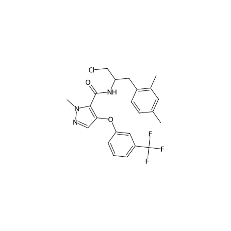 Cc1ccc(CC(CCl)NC(=O)c2c(Oc3cccc(C(F)(F)F)c3)cnn2C)c(C)c1